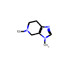 CCN1CCc2ncn(C)c2C1